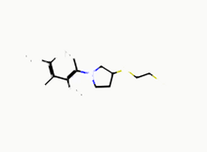 CC(=C(C#N)C#N)/C(C#N)=C(\C)N1CCC(SCCS)C1